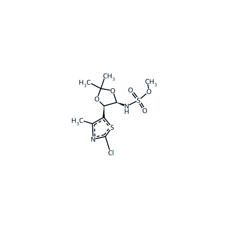 COS(=O)(=O)N[C@@H]1OC(C)(C)O[C@@H]1c1sc(Cl)nc1C